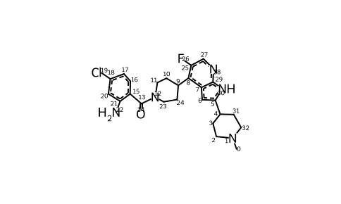 CN1CCC(c2cc3c(C4CCN(C(=O)c5ccc(Cl)cc5N)CC4)c(F)cnc3[nH]2)CC1